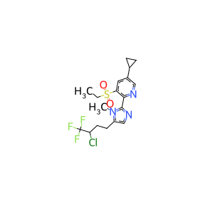 CCS(=O)(=O)c1cc(C2CC2)cnc1-c1ncc(CCC(Cl)C(F)(F)F)n1C